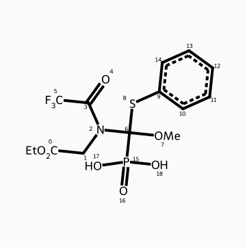 CCOC(=O)CN(C(=O)C(F)(F)F)C(OC)(Sc1ccccc1)P(=O)(O)O